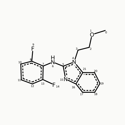 COCCn1c(Nc2c(F)cccc2F)nc2ccccc21